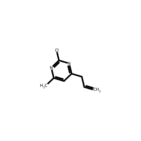 C=CCc1cc(C)nc(Cl)n1